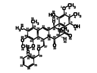 COc1c(C)c(O)c2c(c1O)[C@H]1C3=Cc4c(C)c(C)c(OC)c(OC)c4[C@H](COCc4ccccc4)N3C(=O)[C@H](C2=O)N1C